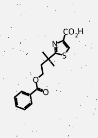 CC(C)(CCOC(=O)c1ccccc1)c1nc(C(=O)O)cs1